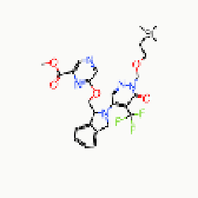 COC(=O)c1cncc(OCC2c3ccccc3CN2c2cnn(COCC[Si](C)(C)C)c(=O)c2C(F)(F)F)n1